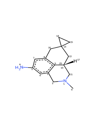 CN1Cc2cc(N)cc3c2[C@@H](C1)CC1(CC1)C3